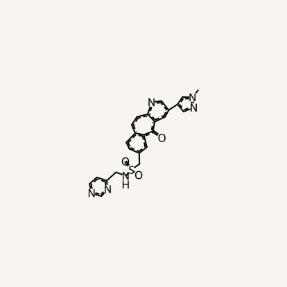 Cn1cc(-c2cnc3ccc4ccc(CS(=O)(=O)NCc5ccncn5)cc4c(=O)c3c2)cn1